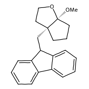 CO[C@]12CCC[C@@]1(CC1c3ccccc3-c3ccccc31)CCO2